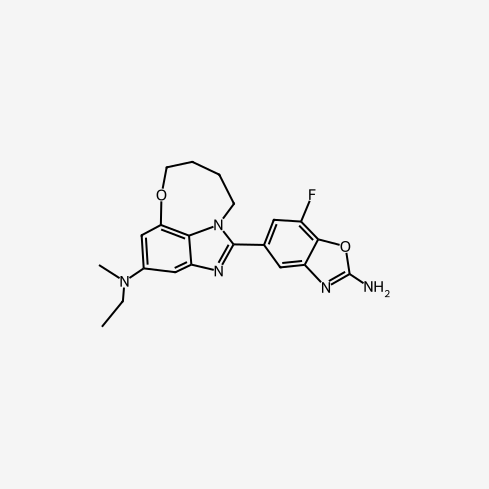 CCN(C)c1cc2c3c(c1)nc(-c1cc(F)c4oc(N)nc4c1)n3CCCCO2